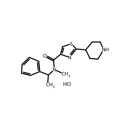 CC(c1ccccc1)N(C)C(=O)c1csc(C2CCNCC2)n1.Cl